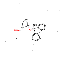 CC(C)(C)[Si](O[C@H]1C2CC2C[C@H]1CO)(c1ccccc1)c1ccccc1